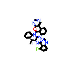 CC(C)C(Nc1ncnc2cccc(F)c12)c1nc2cccc(-c3cncnc3)c2c(=O)n1-c1ccccc1